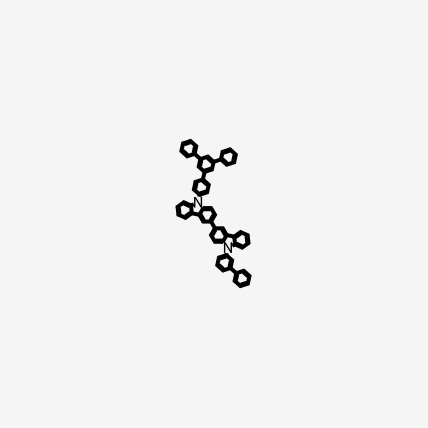 c1ccc(-c2cc(-c3ccccc3)cc(-c3ccc(-n4c5ccccc5c5cc(-c6ccc7c(c6)c6ccccc6n7-c6cccc(-c7ccccc7)c6)ccc54)cc3)c2)cc1